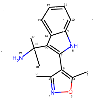 Cc1noc(C)c1-c1[nH]c2ccccc2c1C(C)(C)N